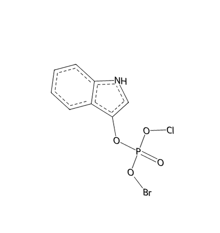 O=P(OCl)(OBr)Oc1c[nH]c2ccccc12